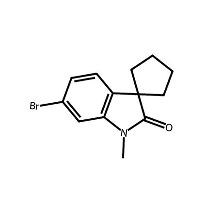 CN1C(=O)C2(CCCC2)c2ccc(Br)cc21